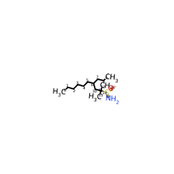 CCCCCCC(CCC)CC(C)(C)[S+](N)[O-]